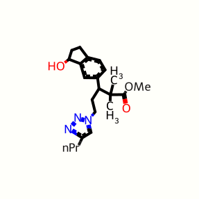 CCCc1cn(CCC(c2ccc3c(c2)C(O)CC3)C(C)(C)C(=O)OC)nn1